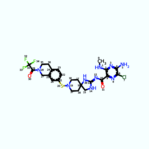 CNc1nc(N)c(Cl)nc1C(=O)/N=C1\NCC2(CCN(Sc3ccc4c(c3)CN(C(=O)C(F)(F)F)CC4)CC2)N1